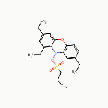 CCCS(=O)(=O)ON1c2cc(CC)ccc2Oc2cc(CC)cc(CC)c21